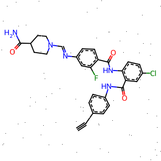 C#Cc1ccc(NC(=O)c2cc(Cl)ccc2NC(=O)c2ccc(N=CN3CCC(C(N)=O)CC3)cc2F)cc1